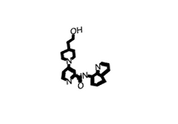 O=C(Nc1cccc2cccnc12)c1cc(N2CCC(CCO)CC2)ccn1